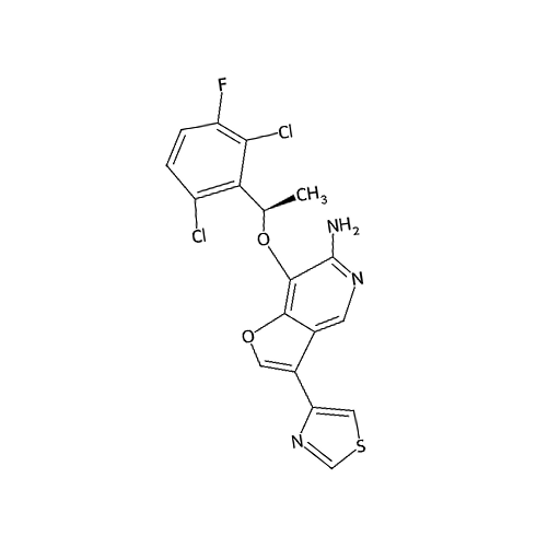 C[C@@H](Oc1c(N)ncc2c(-c3cscn3)coc12)c1c(Cl)ccc(F)c1Cl